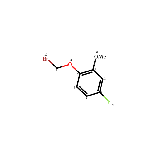 COc1cc(F)ccc1OCBr